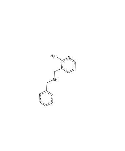 Cc1ncccc1CNCc1ccccc1